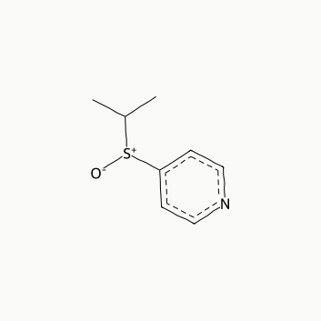 CC(C)[S+]([O-])c1ccncc1